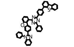 c1ccc(-c2nc(-c3ccc(-c4cccc5c4sc4ccccc45)cc3)nc(-c3cccc4oc5cc(-c6nc7ccccc7n6-c6ccccc6)ccc5c34)n2)cc1